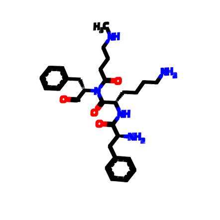 CNCCCC(=O)N(C(=O)[C@H](CCCCN)NC(=O)[C@@H](N)Cc1ccccc1)[C@H]([C]=O)Cc1ccccc1